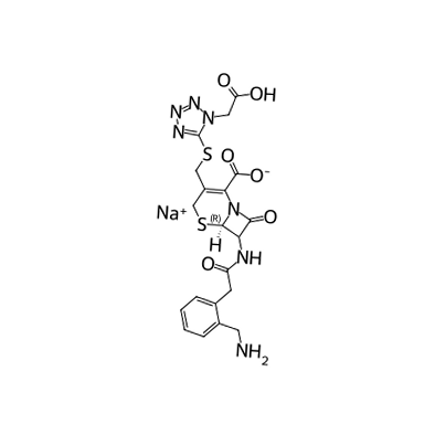 NCc1ccccc1CC(=O)NC1C(=O)N2C(C(=O)[O-])=C(CSc3nnnn3CC(=O)O)CS[C@H]12.[Na+]